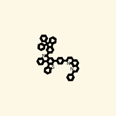 c1ccc(-c2ccc3ccc4ccc(-c5ccc(-c6cc7c(-c8ccc9c(c8)C(c8ccccc8)(c8ccccc8)c8ccccc8-9)nc8ccccc8c7c7c6sc6ccccc67)cc5)nc4c3n2)cc1